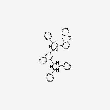 C1=CC2Sc3cccc(-c4nc(-c5ccccc5)nc(-c5cc(-c6nc(-c7ccccc7)nc(-c7ccccc7)n6)c6ccccc6c5)n4)c3SC2C=C1